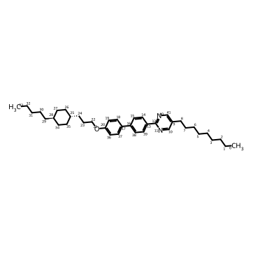 CCCCCCCCCc1cnc(-c2ccc(-c3ccc(OCCC[C@H]4CC[C@H](CCCCC)CC4)cc3)cc2)nc1